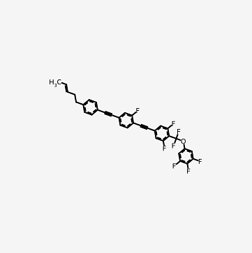 C/C=C/CCc1ccc(C#Cc2ccc(C#Cc3cc(F)c(C(F)(F)Oc4cc(F)c(F)c(F)c4)c(F)c3)c(F)c2)cc1